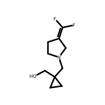 OCC1(CN2CCC(=C(F)F)C2)CC1